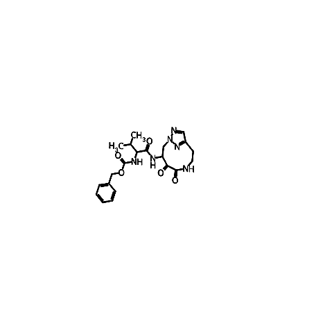 CC(C)C(NC(=O)OCc1ccccc1)C(=O)NC1Cn2ncc(n2)CCNC(=O)C1=O